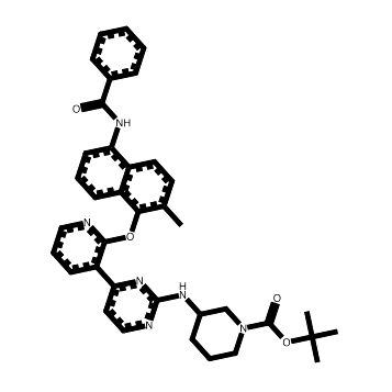 Cc1ccc2c(NC(=O)c3ccccc3)cccc2c1Oc1ncccc1-c1ccnc(NC2CCCN(C(=O)OC(C)(C)C)C2)n1